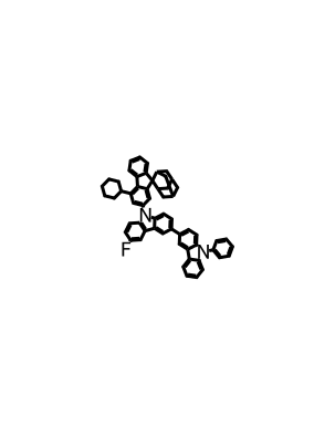 Fc1ccc2c(c1)c1cc(-c3ccc4c(c3)c3ccccc3n4-c3ccccc3)ccc1n2-c1cc(C2CCCCC2)c2c(c1)C1(c3ccccc3-2)C2CC3CC(C2)CC1C3